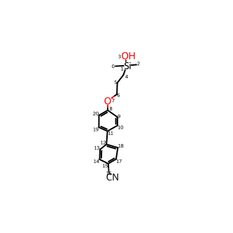 C[Si](C)(O)CCCOc1ccc(-c2ccc(C#N)cc2)cc1